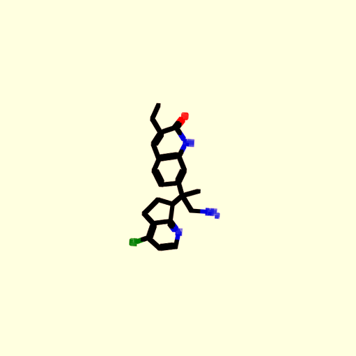 CCc1cc2ccc(C(C)(CN)C3CCc4c(Cl)ccnc43)cc2[nH]c1=O